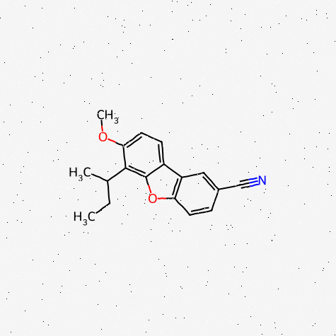 CCC(C)c1c(OC)ccc2c1oc1ccc(C#N)cc12